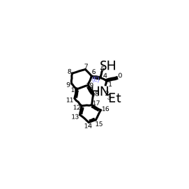 C=C(NCC)/C(S)=C1/CCCc2cc3ccccc3cc21